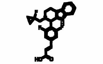 O=C(O)/C=C/c1cc(F)c(C2c3[nH]c4ccccc4c3CCN2CC2(F)CC2)c(F)c1